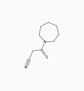 N#CCC(=S)N1CCCCCC1